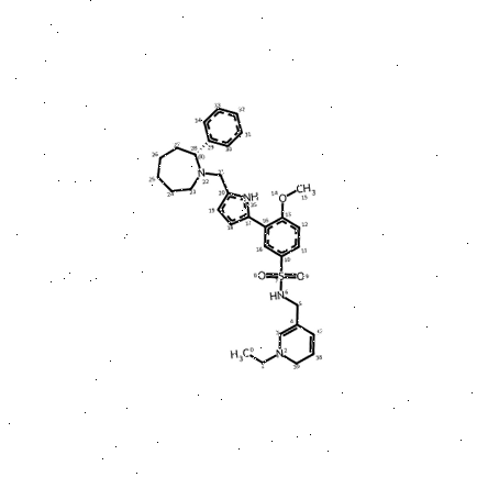 CCN1C=C(CNS(=O)(=O)c2ccc(OC)c(-c3ccc(CN4CCCCC[C@@H]4c4ccccc4)[nH]3)c2)C=CC1